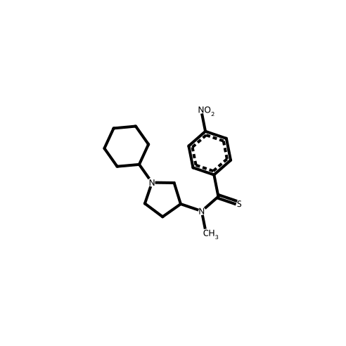 CN(C(=S)c1ccc([N+](=O)[O-])cc1)C1CCN(C2CCCCC2)C1